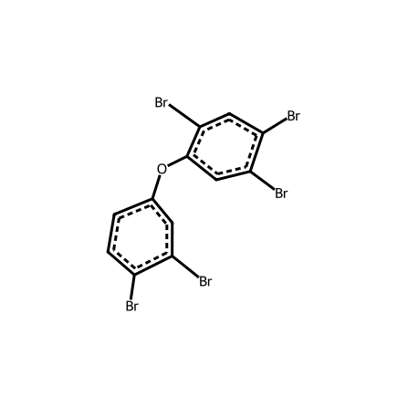 Brc1ccc(Oc2cc(Br)c(Br)cc2Br)cc1Br